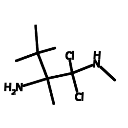 CNC(Cl)(Cl)C(C)(N)C(C)(C)C